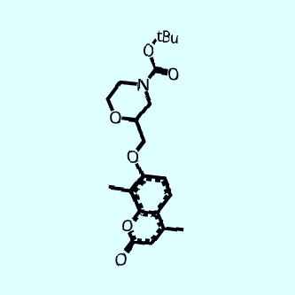 Cc1cc(=O)oc2c(C)c(OCC3CN(C(=O)OC(C)(C)C)CCO3)ccc12